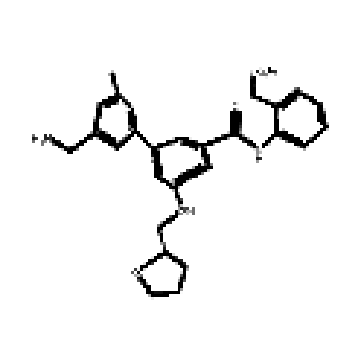 NCc1cc(F)cc(-c2cc(NC[C@H]3CCCO3)cc(C(=O)Nc3ccccc3CC(=O)O)c2)c1